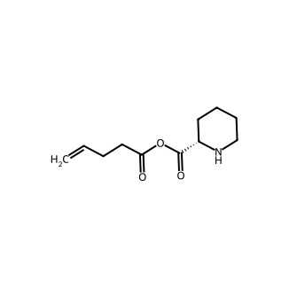 C=CCCC(=O)OC(=O)[C@@H]1CCCCN1